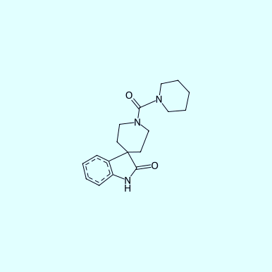 O=C(N1CCCCC1)N1CCC2(CC1)C(=O)Nc1ccccc12